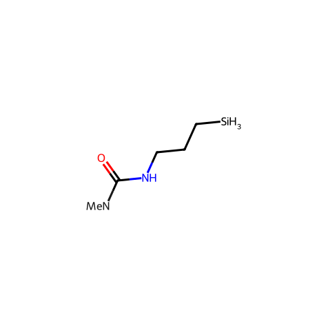 CNC(=O)NCCC[SiH3]